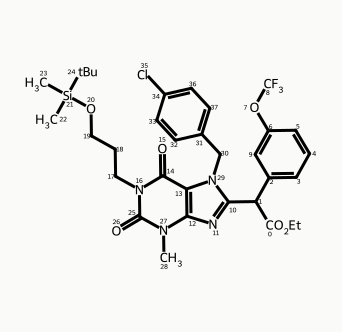 CCOC(=O)C(c1cccc(OC(F)(F)F)c1)c1nc2c(c(=O)n(CCCO[Si](C)(C)C(C)(C)C)c(=O)n2C)n1Cc1ccc(Cl)cc1